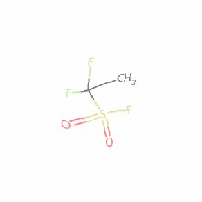 CC(F)(F)S(=O)(=O)F